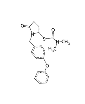 CN(C)C(=O)SC1CCC(=O)N1Cc1ccc(Oc2ccccc2)cc1